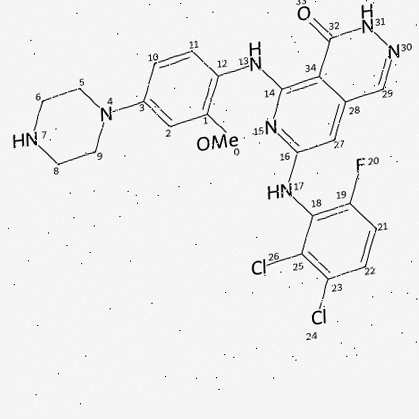 COc1cc(N2CCNCC2)ccc1Nc1nc(Nc2c(F)ccc(Cl)c2Cl)cc2cn[nH]c(=O)c12